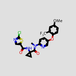 COc1ccc(Oc2ccc(N(C)C(=O)C3(NC(=O)c4cnc(Cl)s4)CC3)nc2)c(C(F)(F)F)c1